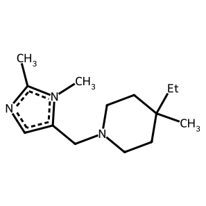 CCC1(C)CCN(Cc2cnc(C)n2C)CC1